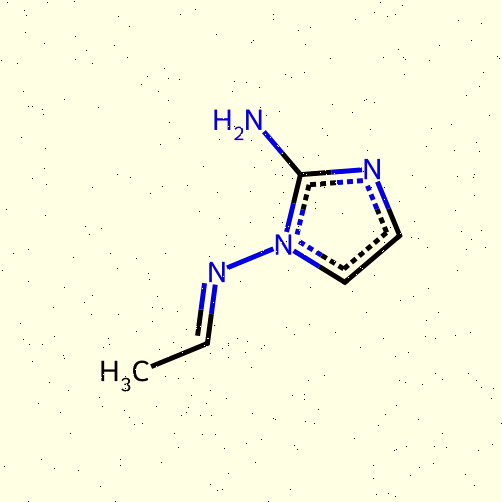 C/C=N/n1ccnc1N